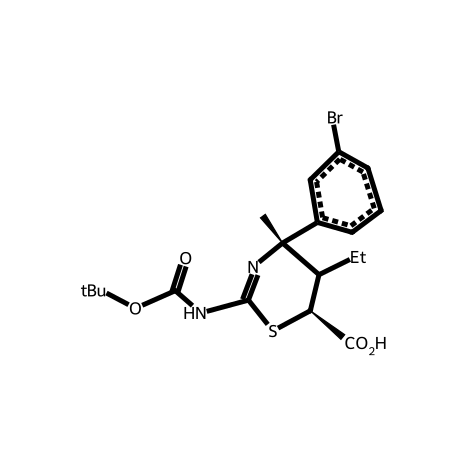 CCC1[C@@H](C(=O)O)SC(NC(=O)OC(C)(C)C)=N[C@]1(C)c1cccc(Br)c1